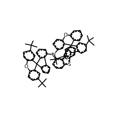 CC(C)(C)c1ccc2c(c1)C1(c3cc(C(C)(C)C)ccc3O2)c2ccccc2-c2c(N(c3ccc4c(c3)C3(c5ccccc5O4)c4cc(C(C)(C)C)ccc4-c4ccc(C(C)(C)C)cc43)c3cccc4sc5ccccc5c34)cccc21